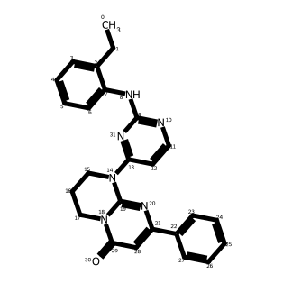 CCc1ccccc1Nc1nccc(N2CCCn3c2nc(-c2ccccc2)cc3=O)n1